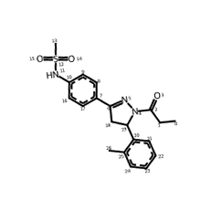 CCC(=O)N1N=C(c2ccc(NS(C)(=O)=O)cc2)CC1c1ccccc1C